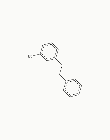 CCc1cccc(CCc2ccccc2)c1